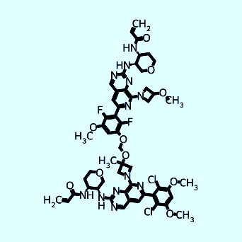 C=CC(=O)N[C@H]1CCOC[C@H]1Nc1ncc2cc(-c3c(F)c(OC)cc(OCOC4(C)CN(c5nc(-c6c(Cl)c(OC)cc(OC)c6Cl)cc6cnc(N[C@@H]7COCC[C@@H]7NC(=O)C=C)nc56)C4)c3F)nc(N3CC(OC)C3)c2n1